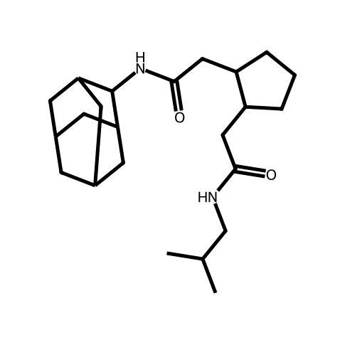 CC(C)CNC(=O)CC1CCCC1CC(=O)NC1C2CC3CC(C2)CC1C3